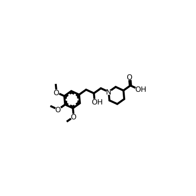 COc1cc(CC(O)CN2CCCC(C(=O)O)C2)cc(OC)c1OC